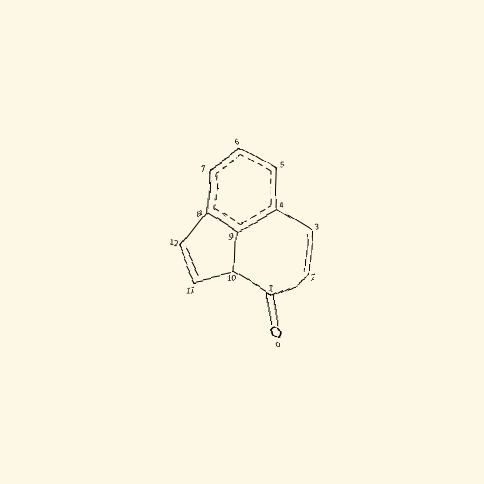 O=C1C=Cc2cccc3c2C1C=C3